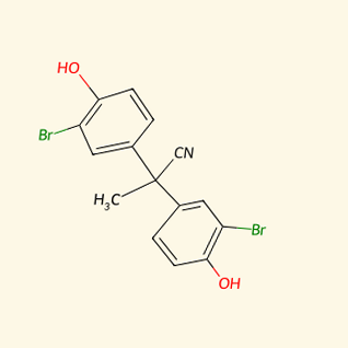 CC(C#N)(c1ccc(O)c(Br)c1)c1ccc(O)c(Br)c1